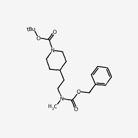 CN(CCC1CCN(C(=O)OC(C)(C)C)CC1)C(=O)OCc1ccccc1